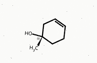 C[C@@]1(O)CC=CCC1